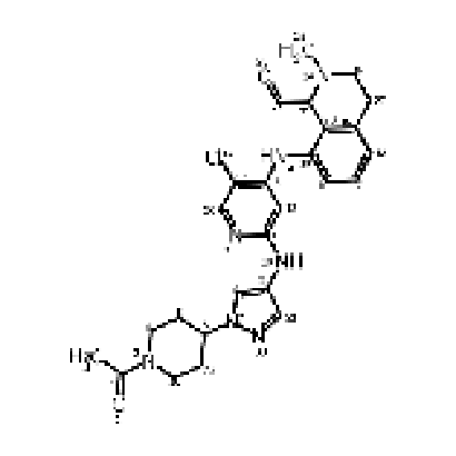 CC(=O)N1CCC(n2cc(Nc3cc(Nc4cccc5c4C(C=O)N(C)CC5)c(Cl)cn3)cn2)CC1